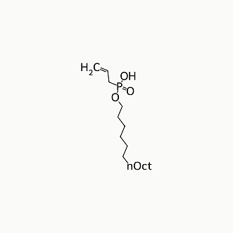 C=CCP(=O)(O)OCCCCCCCCCCCCCC